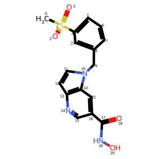 CS(=O)(=O)c1cccc(Cn2ccc3ncc(C(=O)NO)cc32)c1